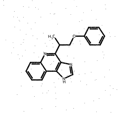 CC(COc1ccccc1)c1nc2ccccc2c2[nH]cnc12